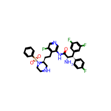 N[C@H](C(=O)Nc1cncc(F)c1CC[C@H]1CNCCN1S(=O)(=O)c1ccccc1)[C@@H](c1ccc(F)cc1)c1cc(F)cc(F)c1